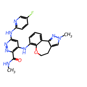 CNC(=O)c1nnc(Nc2ccc(F)cn2)cc1Nc1cccc2c1OCCc1cn(C)nc1-2